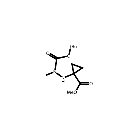 COC(=O)C1(NN(C)C(=O)OC(C)(C)C)CC1